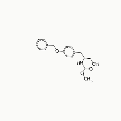 COC(=O)N[C@H](CO)Cc1ccc(OCc2ccccc2)cc1